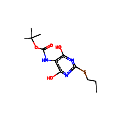 CCCSc1nc(O)c(NC(=O)OC(C)(C)C)c(O)n1